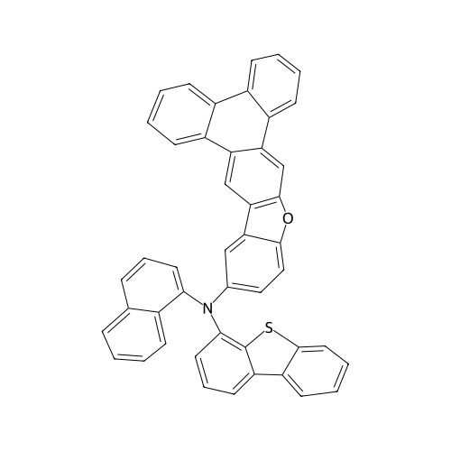 c1ccc2c(N(c3ccc4oc5cc6c7ccccc7c7ccccc7c6cc5c4c3)c3cccc4c3sc3ccccc34)cccc2c1